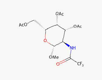 CO[C@@H]1O[C@H](COC(C)=O)[C@H](OC(C)=O)[C@H](OC(C)=O)[C@H]1NC(=O)C(F)(F)F